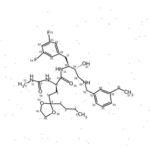 CCCCC1(CC[C@@H](NC(=O)NC)C(=O)N[C@@H](Cc2cc(F)cc(F)c2)[C@H](O)CNCc2cccc(CC)c2)OCCO1